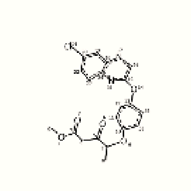 COC(=O)CC(=O)C(C)Oc1ccc(Oc2cnc3cc(Cl)ccc3n2)cc1